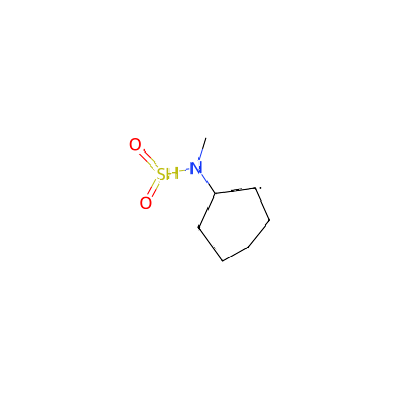 CN(C1[CH]CCCC1)[SH](=O)=O